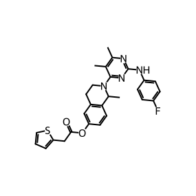 Cc1nc(Nc2ccc(F)cc2)nc(N2CCc3cc(OC(=O)Cc4cccs4)ccc3C2C)c1C